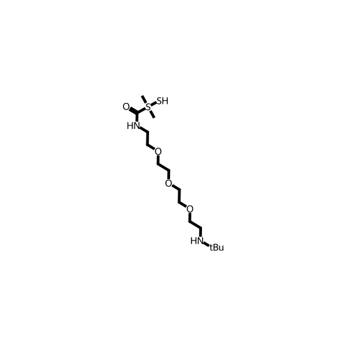 CC(C)(C)NCCOCCOCCOCCNC(=O)S(C)(C)S